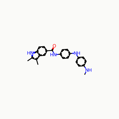 CNc1ccc(Nc2ccc(NC(=O)c3ccc4[nH]c(C)c(C)c4c3)cc2)cc1